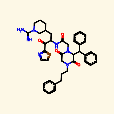 N=C(N)N1CCCC(CC(NC(=O)CN2C(=O)CN(CCCc3ccccc3)C(=O)C2C(c2ccccc2)c2ccccc2)C(=O)c2nccs2)C1